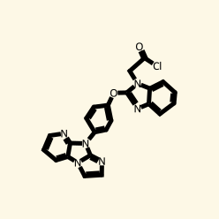 O=C(Cl)Cn1c(Oc2ccc(-n3c4ncccc4n4ccnc34)cc2)nc2ccccc21